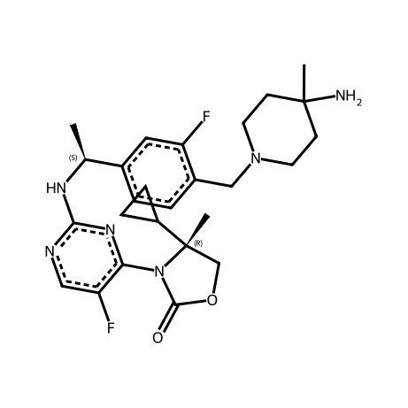 C[C@H](Nc1ncc(F)c(N2C(=O)OC[C@@]2(C)C2CC2)n1)c1ccc(CN2CCC(C)(N)CC2)c(F)c1